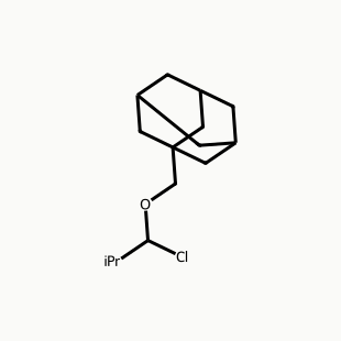 CC(C)C(Cl)OCC12CC3CC(CC(C3)C1)C2